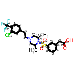 CC1CN(CCc2ccc(C(F)(F)F)c(Cl)c2)C[C@@H](C)N1S(=O)(=O)c1cccc(CC(=O)O)c1